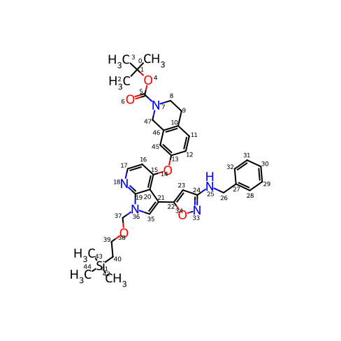 CC(C)(C)OC(=O)N1CCc2ccc(Oc3ccnc4c3c(-c3cc(NCc5ccccc5)no3)cn4COCC[Si](C)(C)C)cc2C1